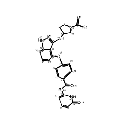 CCC(=O)N1CCC(Nc2n[nH]c3nccc(Oc4ccc(C(=O)Nc5nccc(=O)[nH]5)cc4)c23)C1